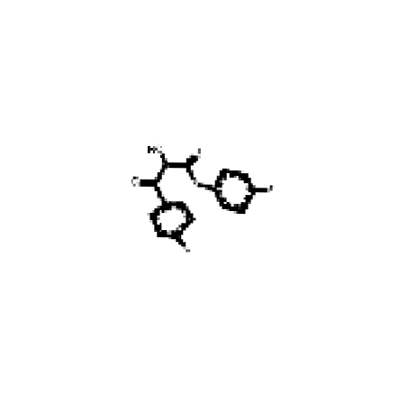 N#CC(C(=O)c1ccc(F)cc1)C(=S)Sc1ccc(F)cc1